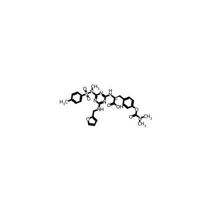 Cc1ccc(S(=O)(=O)N(C)c2nc(NCc3ccco3)nc(N[C@@H](Cc3ccc(OC(=O)N(C)C)cc3)C(=O)O)n2)cc1